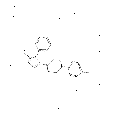 Cc1ccc(N2CCN(c3ncc(C)n3-c3ccccc3)CC2)cc1